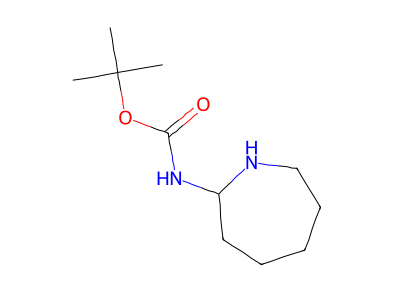 CC(C)(C)OC(=O)NC1CCCCCN1